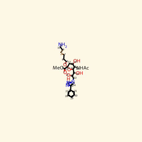 COC(=O)[C@@]1(OCCCSCCN)C[C@@H](O)[C@@H](NC(C)=O)C([C@H](O)[C@H](O)Cn2cc(-c3ccccc3)nn2)O1